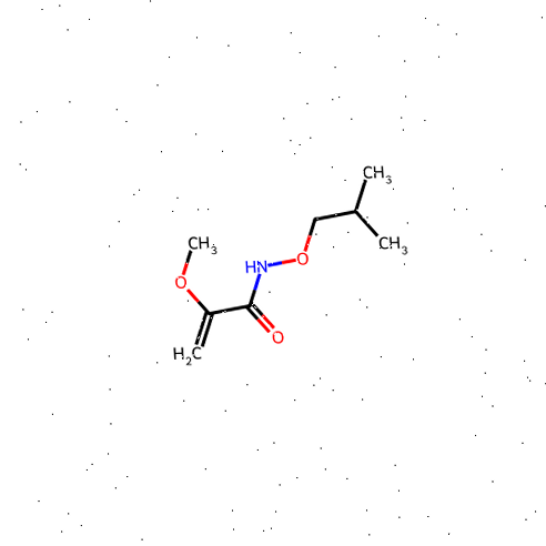 C=C(OC)C(=O)NOCC(C)C